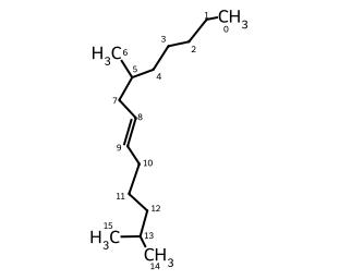 CCCCCC(C)C/C=C/CCCC(C)C